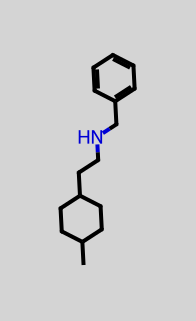 CC1CCC(CCNCc2ccccc2)CC1